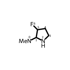 CNC1NCCC1F